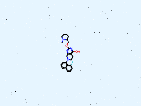 CN1CCCC[C@H]1COc1nc(O)c2c(n1)CN(c1cccc3cccc(F)c13)CC2